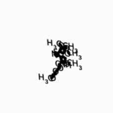 COCCOCCOC(=O)Nc1cc(-c2cnsc2-c2cc(OC)c(OC)c(OC)c2)ccc1OC